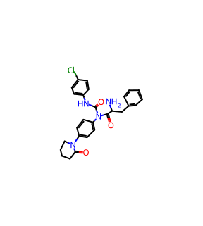 NC(Cc1ccccc1)C(=O)N(C(=O)Nc1ccc(Cl)cc1)c1ccc(N2CCCCC2=O)cc1